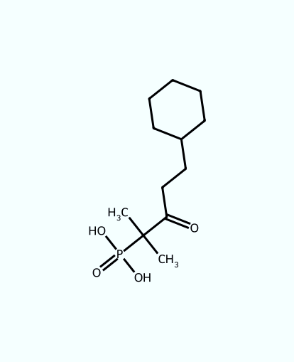 CC(C)(C(=O)CCC1CCCCC1)P(=O)(O)O